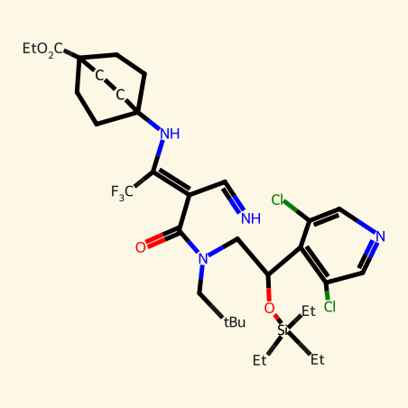 CCOC(=O)C12CCC(N/C(=C(\C=N)C(=O)N(CC(O[Si](CC)(CC)CC)c3c(Cl)cncc3Cl)CC(C)(C)C)C(F)(F)F)(CC1)CC2